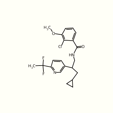 COc1cccc(C(=O)NCC(CC2CC2)c2ccc(C(C)(F)F)nc2)c1Cl